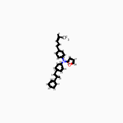 C/C(=C/C=C/c1ccc(N(c2ccc(/C=C(\C)c3ccccc3)cc2)c2ccco2)cc1)C(F)(F)F